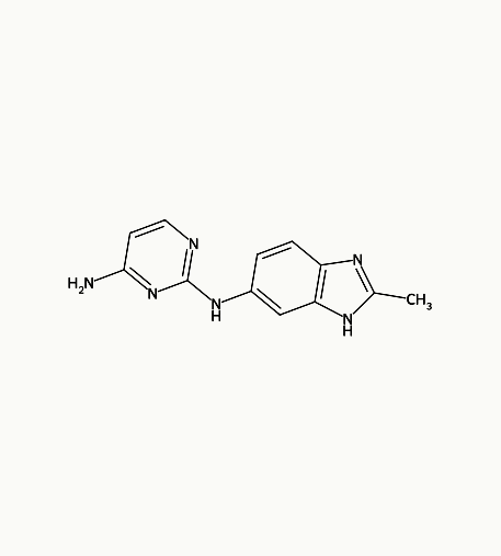 Cc1nc2ccc(Nc3nccc(N)n3)cc2[nH]1